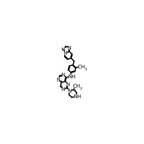 Cc1cc(Nc2ncnc3cnc(N4CCNC[C@@H]4C)nc23)ccc1Cc1ccn2ncnc2c1